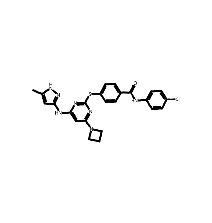 Cc1cc(Nc2cc(N3CCC3)nc(Sc3ccc(C(=O)Nc4ccc(Cl)cc4)cc3)n2)n[nH]1